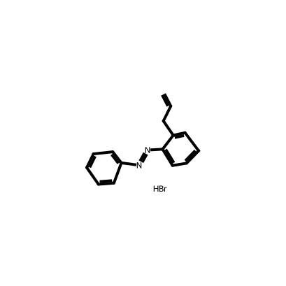 Br.C=CCc1ccccc1N=Nc1ccccc1